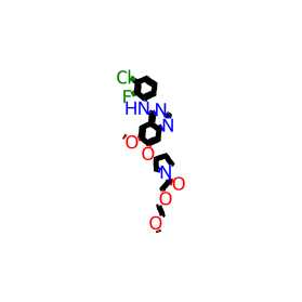 COCCOCC(=O)N1CC[C@@H](Oc2cc3ncnc(Nc4cccc(Cl)c4F)c3cc2OC)C1